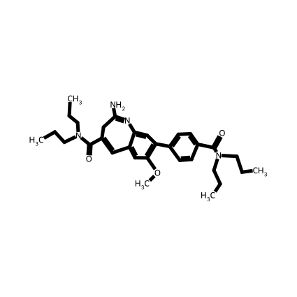 CCCN(CCC)C(=O)C1=Cc2cc(OC)c(-c3ccc(C(=O)N(CCC)CCC)cc3)cc2N=C(N)C1